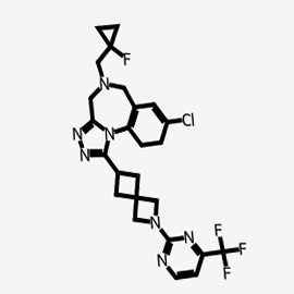 FC1(CN2CC3=C(CCC(Cl)=C3)n3c(nnc3C3CC4(C3)CN(c3nccc(C(F)(F)F)n3)C4)C2)CC1